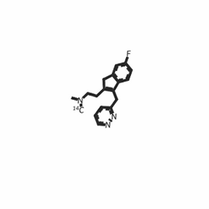 CN([14CH3])CCC1=C(Cc2cccnn2)c2ccc(F)cc2C1